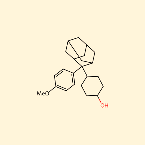 COc1ccc(C2(C3CCC(O)CC3)C3CC4CC(C3)CC2C4)cc1